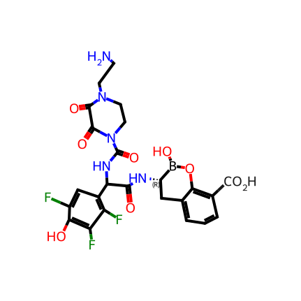 NCCN1CCN(C(=O)NC(C(=O)N[C@H]2Cc3cccc(C(=O)O)c3OB2O)c2cc(F)c(O)c(F)c2F)C(=O)C1=O